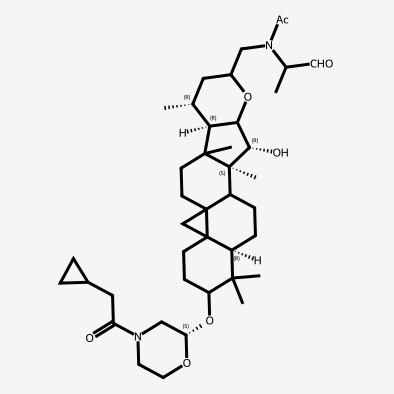 CC(=O)N(CC1C[C@@H](C)[C@H]2C(O1)[C@H](O)[C@@]1(C)C3CC[C@H]4C(C)(C)C(O[C@H]5CN(C(=O)CC6CC6)CCO5)CCC45CC35CCC21C)C(C)C=O